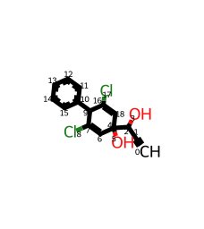 C#CC(O)C1(O)C=C(Cl)C(c2ccccc2)C(Cl)=C1